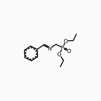 CCOP(=O)(CN=Cc1ccccc1)OCC